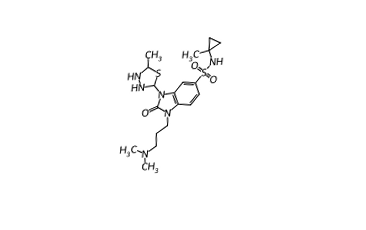 CC1NNC(n2c(=O)n(CCCN(C)C)c3ccc(S(=O)(=O)NC4(C)CC4)cc32)S1